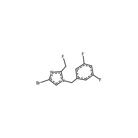 FCc1nc(Br)cn1Cc1cc(F)cc(F)c1